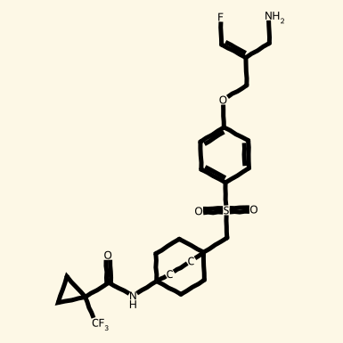 NCC(=CF)COc1ccc(S(=O)(=O)CC23CCC(NC(=O)C4(C(F)(F)F)CC4)(CC2)CC3)cc1